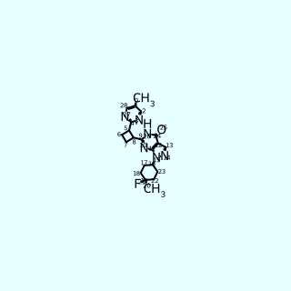 Cc1cnc(C2CCC2c2nc3c(cnn3C3CCC(C)(F)CC3)c(=O)[nH]2)nc1